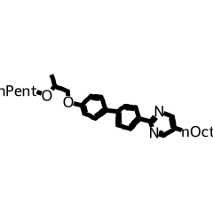 CCCCCCCCc1cnc(-c2ccc(-c3ccc(OCC(C)OCCCCC)cc3)cc2)nc1